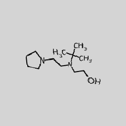 CC(C)(C)N(CCO)CCN1CCCC1